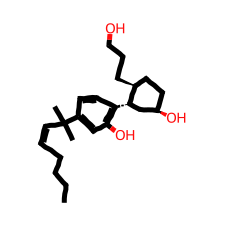 CCCC/C=C\C(C)(C)c1ccc([C@H]2C[C@H](O)CC[C@@H]2CCCO)c(O)c1